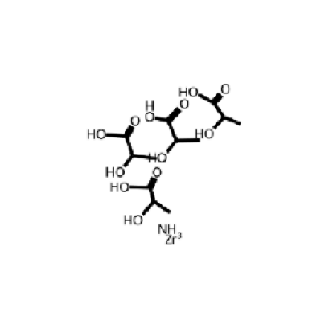 CC(O)C(=O)O.CC(O)C(=O)O.CC(O)C(=O)O.CC(O)C(=O)O.N.[Zr]